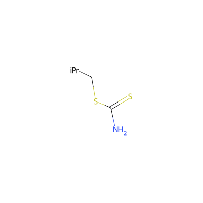 CC(C)CSC(N)=S